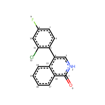 O=c1[nH]cc(-c2ccc(F)cc2Cl)c2ccccc12